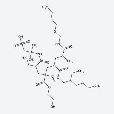 CCCCOCNC(=O)C(C)CC(CC(C)(CC(CC)C(=O)NC(C)(C)CS(=O)(=O)O)C(=O)OCCO)C(=O)OCC(CC)CCCC